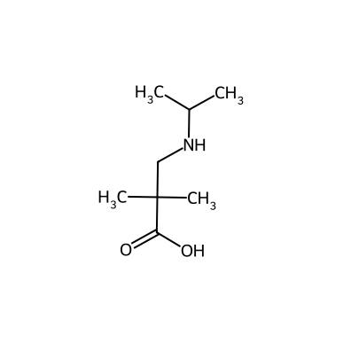 CC(C)NCC(C)(C)C(=O)O